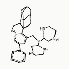 PCC1C2CC3CC(C2)CC1(c1ccc(-c2ccccc2)cc1CP(C1CNCCN1)C1CNCCN1)C3